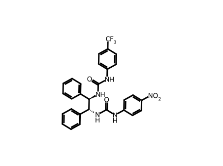 O=C(Nc1ccc([N+](=O)[O-])cc1)N[C@H](c1ccccc1)[C@H](NC(=O)Nc1ccc(C(F)(F)F)cc1)c1ccccc1